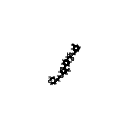 Cc1cccc(CNC(=O)Cc2ccc(-c3ncc(OCCN4CCOCC4)cc3F)cc2)c1